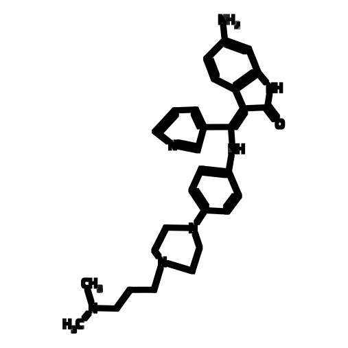 CN(C)CCCN1CCN(c2ccc(N/C(=C3\C(=O)Nc4cc(N)ccc43)c3cccnc3)cc2)CC1